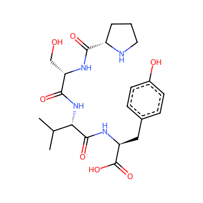 CC(C)[C@H](NC(=O)[C@H](CO)NC(=O)[C@@H]1CCCN1)C(=O)N[C@@H](Cc1ccc(O)cc1)C(=O)O